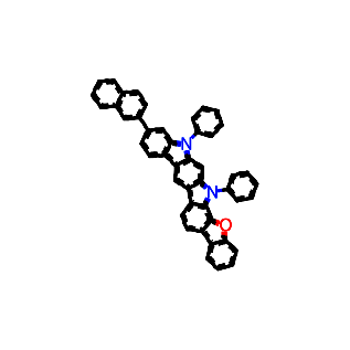 c1ccc(-n2c3cc(-c4ccc5ccccc5c4)ccc3c3cc4c5ccc6c7ccccc7oc6c5n(-c5ccccc5)c4cc32)cc1